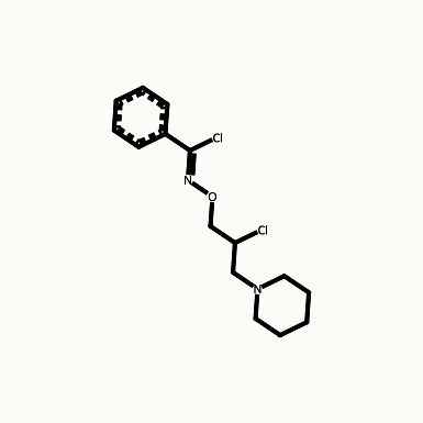 ClC(=NOCC(Cl)CN1CCCCC1)c1ccccc1